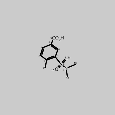 Cc1ccc(C(=O)O)cc1S(=O)(=O)N(C)C